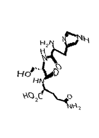 NC(=O)CC[C@H](NC(=O)[C@H](CO)NC(=O)[C@@H](N)Cc1c[nH]cn1)C(=O)O